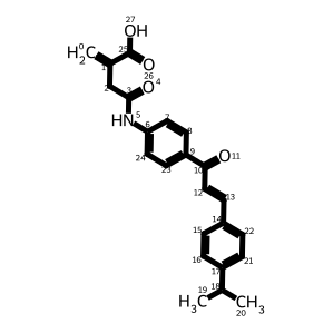 C=C(CC(=O)Nc1ccc(C(=O)C=Cc2ccc(C(C)C)cc2)cc1)C(=O)O